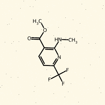 CNc1nc(C(F)(F)F)ccc1C(=O)OC